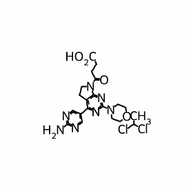 CC(Cl)Cl.Nc1ncc(-c2nc(N3CCOCC3)nc3c2CCN3C(=O)CCC(=O)O)cn1